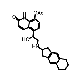 CC(=O)Oc1ccc([C@H](O)CNC2Cc3cc4c(cc3C2)CCCC4)c2ccc(=O)[nH]c12